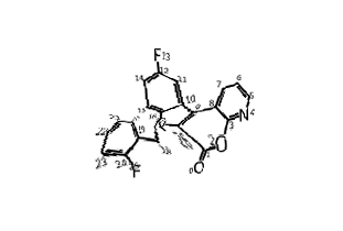 O=c1oc2ncccc2c2c3cc(F)ccc3n(Cc3ccccc3F)c12